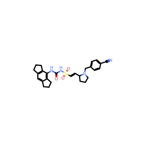 N#Cc1ccc(CN2CCCC2/C=C/S(=O)(=O)NC(=O)Nc2c3c(cc4c2CCC4)CCC3)cc1